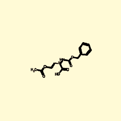 CC(=O)OCC[C@H](NC(=O)OCc1ccccc1)C(=O)O